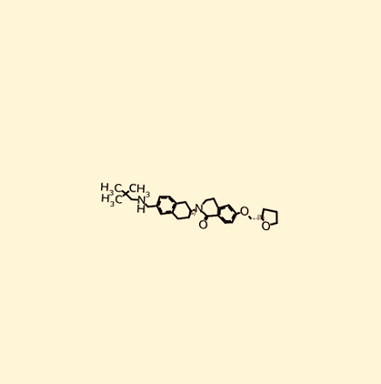 CC(C)(C)CNCc1ccc2c(c1)CC[C@H](N1CCc3cc(OC[C@@H]4CCCO4)ccc3C1=O)C2